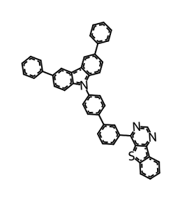 c1ccc(-c2ccc3c(c2)c2cc(-c4ccccc4)ccc2n3-c2ccc(-c3cccc(-c4ncnc5c4sc4ccccc45)c3)cc2)cc1